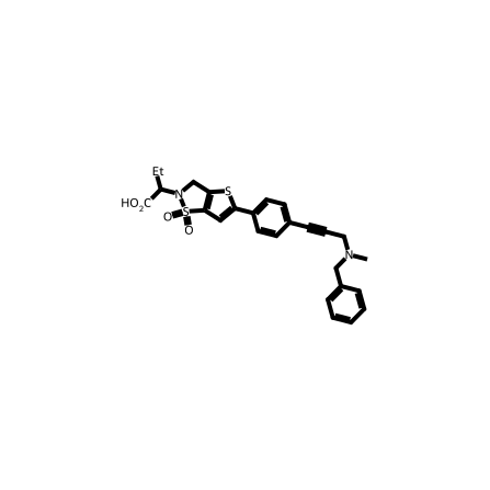 CCC(C(=O)O)N1Cc2sc(-c3ccc(C#CCN(C)Cc4ccccc4)cc3)cc2S1(=O)=O